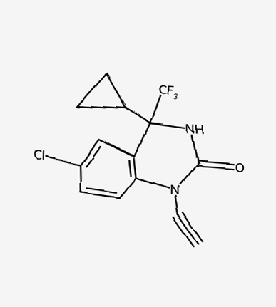 C#CN1C(=O)NC(C2CC2)(C(F)(F)F)c2cc(Cl)ccc21